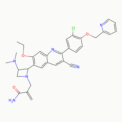 C=C(CN1CC(N(C)C)C1c1cc2cc(C#N)c(-c3ccc(OCc4ccccn4)c(Cl)c3)nc2cc1OCC)C(N)=O